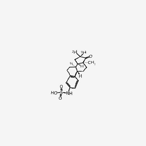 [2H]C1([2H])C[C@H]2[C@@H]3CCc4cc(NS(=O)(=O)O)ccc4[C@H]3CC[C@]2(C)C1=O